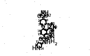 NS(=O)(=O)c1c(S(=O)(=O)N[C@@H]2CCNC2)ccc(N2CCC(S(N)(=O)=O)CC2)c1-c1nnn[nH]1